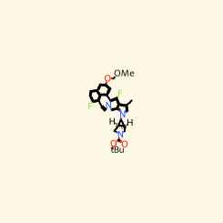 C#Cc1c(F)ccc2cc(OCOC)cc(-c3ncc4c(c(C)cn4C4[C@H]5CN(C(=O)OC(C)(C)C)C[C@@H]45)c3F)c12